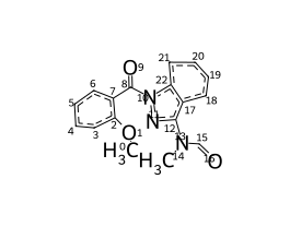 COc1ccccc1C(=O)n1nc(N(C)C=O)c2ccccc21